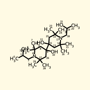 CC(O)CN1C(C)(C)CC(O)(C2(O)CC(C)(C)N(CC(C)O)C(C)(C)C2)CC1(C)C